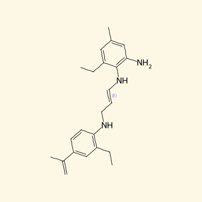 C=C(C)c1ccc(NC/C=C/Nc2c(N)cc(C)cc2CC)c(CC)c1